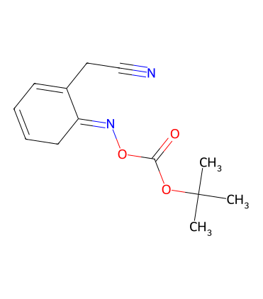 CC(C)(C)OC(=O)ON=C1CC=CC=C1CC#N